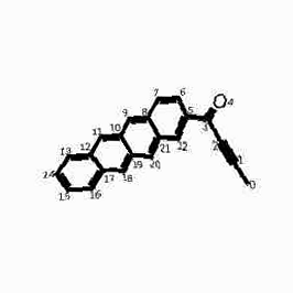 CC#CC(=O)c1ccc2cc3cc4ccccc4cc3cc2c1